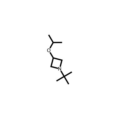 CC(C)OC1CN(C(C)(C)C)C1